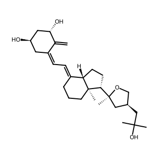 C=C1/C(=C\C=C2/CCC[C@@]3(C)[C@H]2CC[C@@H]3[C@]2(C)C[C@H](CC(C)(C)O)CO2)C[C@@H](O)C[C@@H]1O